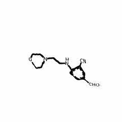 N#Cc1cc([C]=O)ccc1NCCN1CCOCC1